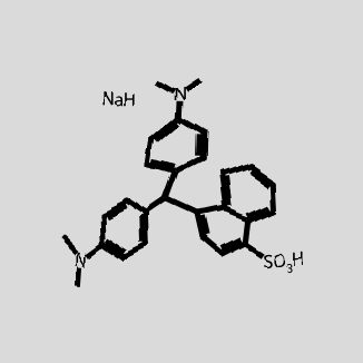 CN(C)c1ccc(C(c2ccc(N(C)C)cc2)c2ccc(S(=O)(=O)O)c3ccccc23)cc1.[NaH]